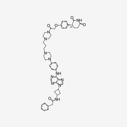 O=C1CC[C@@H](c2ccc(OCC(=O)N3CCN(CCCN4CCN(c5ccc(Nc6ncnc7c6ncn7C6CC(NC(=O)Cc7ccccc7)C6)cc5)CC4)CC3)cc2)C(=O)N1